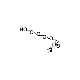 CN(CCOCCOCCOCCOCCO)C(=O)OCC[Si](C)(C)C